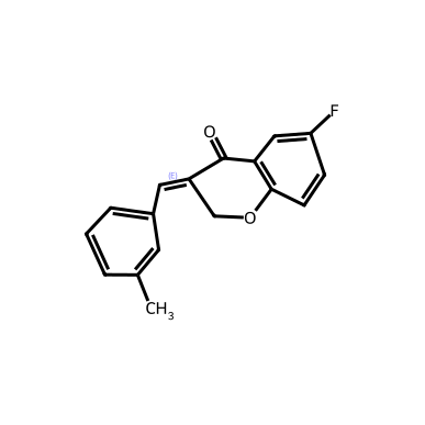 Cc1cccc(/C=C2\COc3ccc(F)cc3C2=O)c1